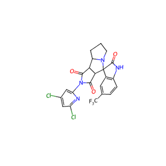 O=C1C2C3CCCN3C3(C(=O)Nc4ccc(C(F)(F)F)cc43)C2C(=O)N1c1cc(Cl)cc(Cl)n1